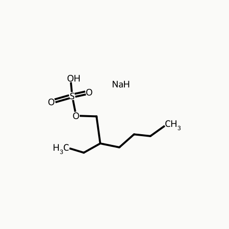 CCCCC(CC)COS(=O)(=O)O.[NaH]